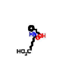 O=C(O)CCCCCCC(=O)NC(CO)Cc1ccccc1